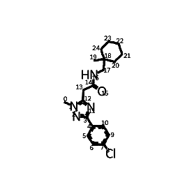 Cn1nc(-c2ccc(Cl)cc2)nc1CC(=O)NCC1(C)CCCCC1